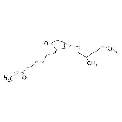 CCCCC(C)C=CC1C2CC(=O)[C@H](CCCCCCC(=O)OC)C12